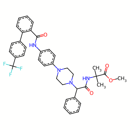 COC(=O)C(C)(C)NC(=O)C(c1ccccc1)N1CCN(c2ccc(NC(=O)c3ccccc3-c3ccc(C(F)(F)F)cc3)cc2)CC1